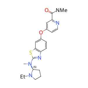 CCN1CCC[C@@H]1N(C)c1nc2ccc(Oc3ccnc(C(=O)NC)c3)cc2s1